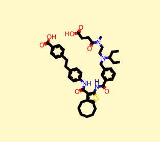 CCC(CC)N(CCN(C)C(=O)CCC(=O)O)Cc1cccc(C(=O)Nc2sc3c(c2C(=O)Nc2ccc(CCc4ccc(C(=O)O)cc4)cc2)CCCCCC3)c1